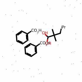 CC(C)CC(C)(C)C(O)O.O=C(O)c1ccccc1.O=C(O)c1ccccc1